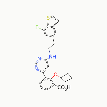 O=C(O)c1cccc(-c2cc(NCCc3cc(F)c4sccc4c3)ncn2)c1OC1CCC1